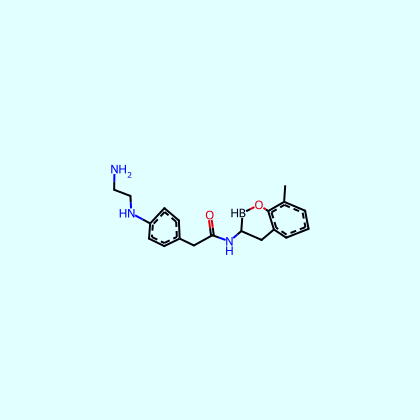 Cc1cccc2c1OBC(NC(=O)Cc1ccc(NCCN)cc1)C2